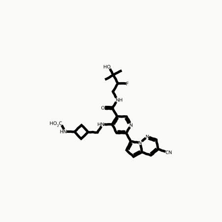 CC(C)(O)C(F)CNC(=O)c1cnc(-c2ccc3cc(C#N)cnn23)cc1NCC1CC(NC(=O)O)C1